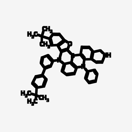 CC(C)(C)c1ccc(-c2cccc(N3c4cccc5c4B(c4ccc6c(c4N5c4ccccc4)C=CNC6)c4oc5ccc(C(C)(C)C)cc5c43)c2)cc1